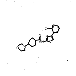 O=C(Nc1nc(-c2ccccc2Cl)cs1)C1CCC(N2CCOCC2)CC1